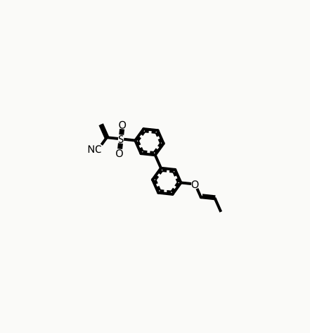 C=C(C#N)S(=O)(=O)c1cccc(-c2cccc(OC=CC)c2)c1